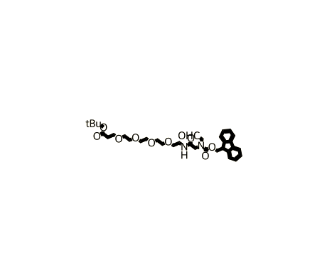 CC(C)(C)OC(=O)CCOCCOCCOCCOCCNC(=O)CN(CC=O)C(=O)OCC1c2ccccc2-c2ccccc21